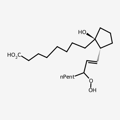 CCCCCC(/C=C/[C@H]1CCC[C@@]1(O)CCCCCCCC(=O)O)OO